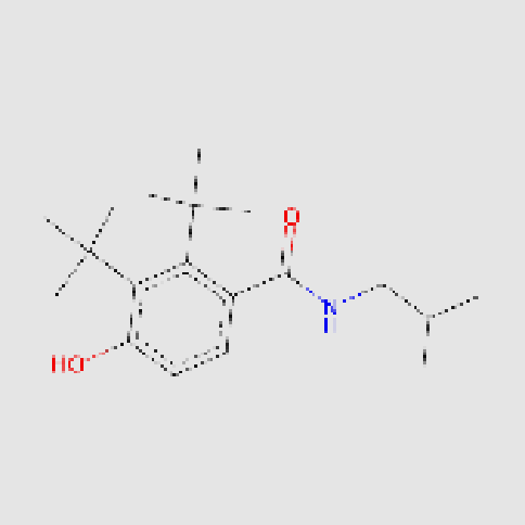 CC(C)CNC(=O)c1ccc(O)c(C(C)(C)C)c1C(C)(C)C